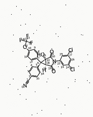 N#Cc1ccc([C@]2(c3ccc(OC(F)(F)F)cc3)[C@@H]3C(=O)N(c4cc(Cl)cc(Cl)c4)C(=O)C32O)cc1